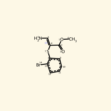 COC(=O)/C(=C/N)Sc1ccccc1Br